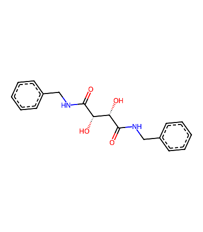 O=C(NCc1ccccc1)[C@@H](O)[C@H](O)C(=O)NCc1ccccc1